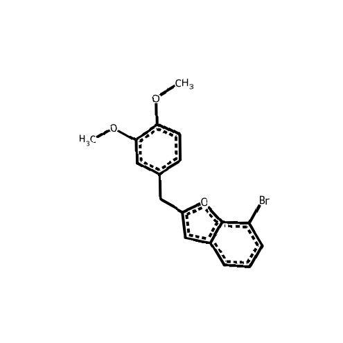 COc1ccc(Cc2cc3cccc(Br)c3o2)cc1OC